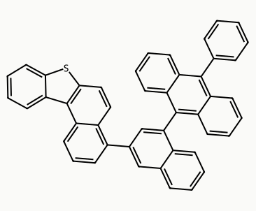 c1ccc(-c2c3ccccc3c(-c3cc(-c4cccc5c4ccc4sc6ccccc6c45)cc4ccccc34)c3ccccc23)cc1